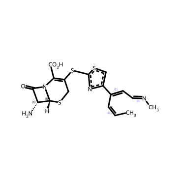 C\C=C/C(=C\C=N\C)c1csc(SC2=C(C(=O)O)N3C(=O)[C@@H](N)[C@H]3SC2)n1